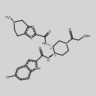 COCC(=O)N1CC[C@@H](NC(=O)c2cc3cc(Cl)ccc3[nH]2)[C@H](NC(=O)c2nc3c(s2)CN(C)CC3)C1